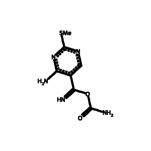 CSc1ncc(C(=N)OC(N)=O)c(N)n1